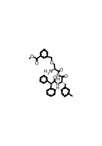 COC(=O)c1cccc(COC[C@H](N)C(=O)NC(=O)[C@H](Cc2cccc(C)c2)NC(=O)C(c2ccccc2)c2ccccc2)c1